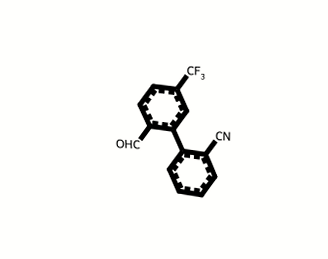 N#Cc1ccccc1-c1cc(C(F)(F)F)ccc1C=O